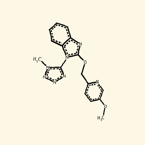 COc1ccc(COc2nc3ccccc3n2-c2nnnn2C)nc1